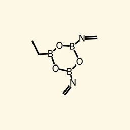 C=NB1OB(CC)OB(N=C)O1